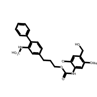 COc1cc(NC(=O)OCCCc2ccc(-c3ccccc3)c(NC(=O)O)c2)c(Cl)cc1CO